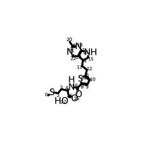 CSCCC(NC(=O)c1ccc(CCC2CNc3nc(C)ncc32)s1)C(=O)O